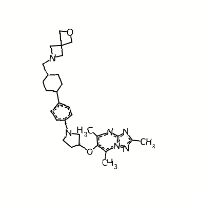 Cc1nc2nc(C)c(OC3CCN(c4ccc(C5CCC(CN6CC7(COC7)C6)CC5)cc4)C3)c(C)n2n1